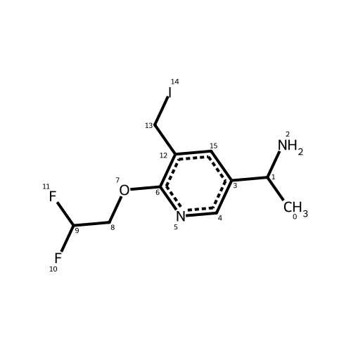 CC(N)c1cnc(OCC(F)F)c(CI)c1